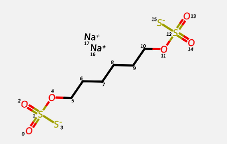 O=S(=O)([S-])OCCCCCCOS(=O)(=O)[S-].[Na+].[Na+]